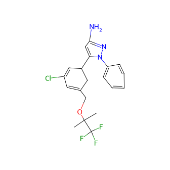 CC(C)(OCC1=CC(Cl)=CC(c2cc(N)nn2-c2ccccc2)C1)C(F)(F)F